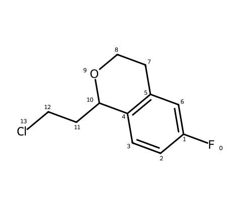 Fc1ccc2c(c1)CCOC2CCCl